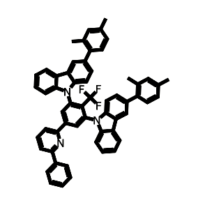 Cc1ccc(-c2ccc3c(c2)c2ccccc2n3-c2cc(-c3cccc(-c4ccccc4)n3)cc(-n3c4ccccc4c4cc(-c5ccc(C)cc5C)ccc43)c2C(F)(F)F)c(C)c1